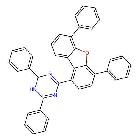 c1ccc(C2=NC(c3ccc(-c4ccccc4)c4oc5c(-c6ccccc6)cccc5c34)=NC(c3ccccc3)N2)cc1